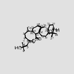 CC1CC[C@H](CC(C)(C)O)OC(=O)C2C3=C(CC[C@]12C)C[C@]12CC[C@H](O1)C(C)(C)C2CC3